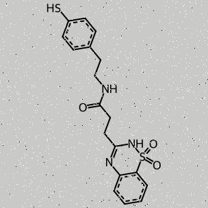 O=C(CCC1=Nc2ccccc2S(=O)(=O)N1)NCCc1ccc(S)cc1